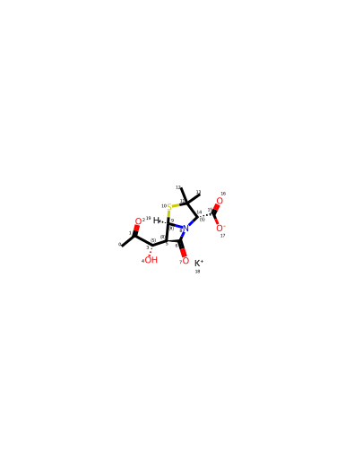 CC(=O)[C@@H](O)[C@@H]1C(=O)N2[C@@H]1SC(C)(C)[C@@H]2C(=O)[O-].[K+]